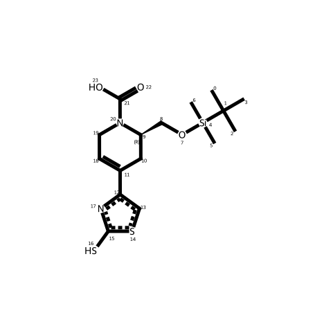 CC(C)(C)[Si](C)(C)OC[C@H]1CC(c2csc(S)n2)=CCN1C(=O)O